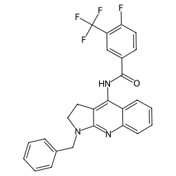 O=C(Nc1c2c(nc3ccccc13)N(Cc1ccccc1)CC2)c1ccc(F)c(C(F)(F)F)c1